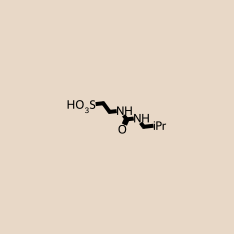 CC(C)CNC(=O)NCCS(=O)(=O)O